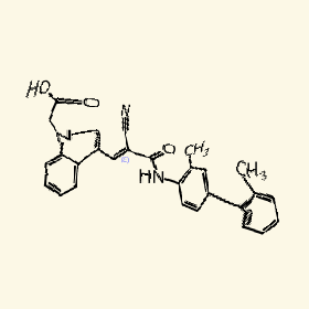 Cc1cc(-c2ccccc2C)ccc1NC(=O)/C(C#N)=C/c1cn(CC(=O)O)c2ccccc12